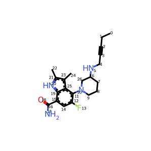 CCC#CCNC1CCCN(c2c(F)cc(C(N)=O)c3[nH]c(C)c(C)c23)C1